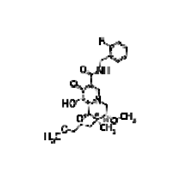 COCCC[C@@]1(C)C(=O)c2c(O)c(=O)c(C(=O)NCc3ccccc3F)cn2C[C@@H]1OC